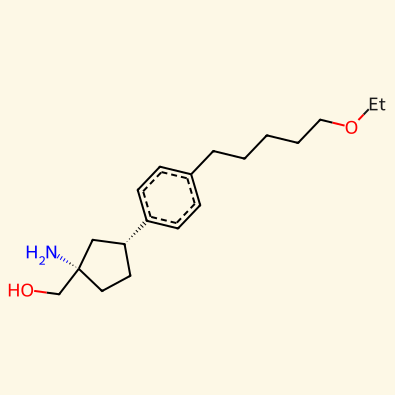 CCOCCCCCc1ccc([C@@H]2CC[C@@](N)(CO)C2)cc1